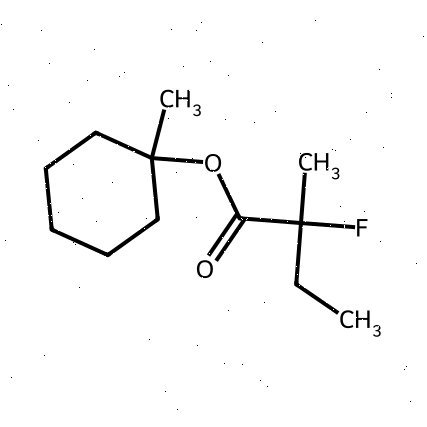 CCC(C)(F)C(=O)OC1(C)CCCCC1